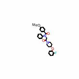 COc1ccc(C(=O)N(CC(=O)N2CCC(Oc3ccccc3F)CC2)c2ccccc2)cc1